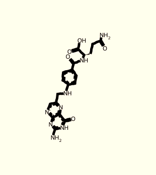 NC(=O)CC[C@H](NC(=O)c1ccc(NCc2cnc3nc(N)[nH]c(=O)c3n2)cc1)C(=O)O